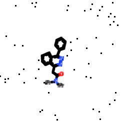 CC(C)N(C(=O)Cc1nnc(-c2ccccc2)c2ccccc12)C(C)C